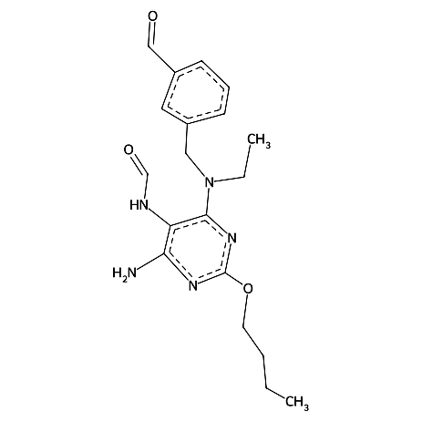 CCCCOc1nc(N)c(NC=O)c(N(CC)Cc2cccc(C=O)c2)n1